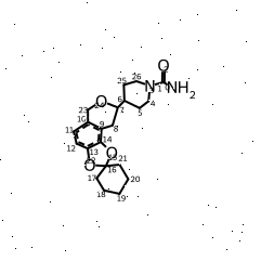 NC(=O)N1CCC(C2Cc3c(ccc4c3OC3(CCCCC3)O4)CO2)CC1